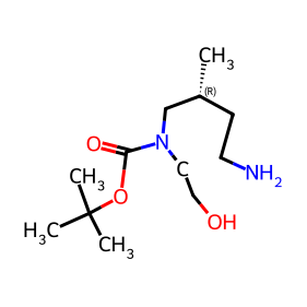 C[C@H](CCN)CN(CCO)C(=O)OC(C)(C)C